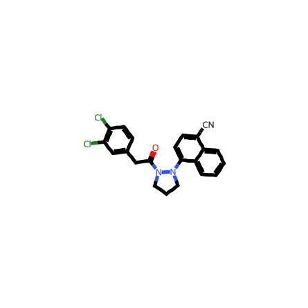 N#Cc1ccc(N2CCCN2C(=O)Cc2ccc(Cl)c(Cl)c2)c2ccccc12